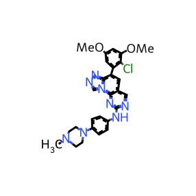 COc1cc(OC)c(Cl)c(-c2cc3cnc(Nc4ccc(N5CCN(C)CC5)cc4)nc3n3cnnc23)c1